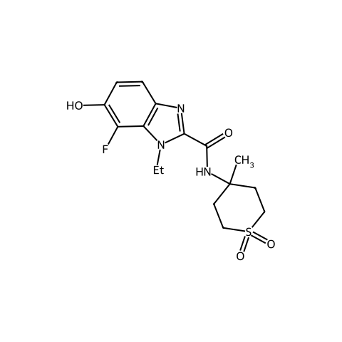 CCn1c(C(=O)NC2(C)CCS(=O)(=O)CC2)nc2ccc(O)c(F)c21